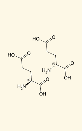 N[C@@H](CCC(=O)O)C(=O)O.N[C@H](CCC(=O)O)C(=O)O